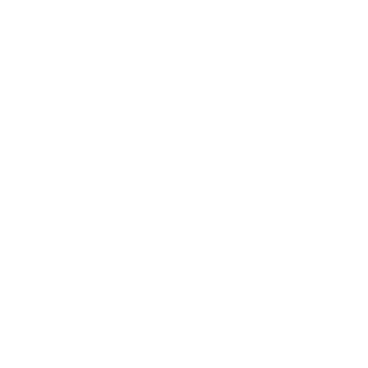 O=C(O)CCCCCC(=O)CCCc1ccc(I)cc1